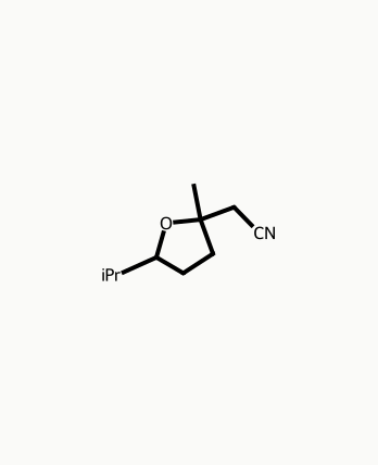 CC(C)C1CCC(C)(CC#N)O1